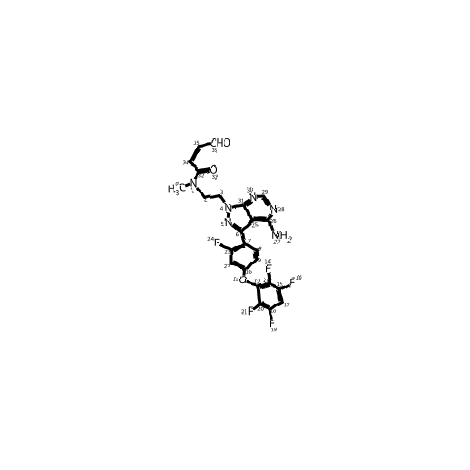 CN(CCn1nc(-c2ccc(Oc3c(F)c(F)cc(F)c3F)cc2F)c2c(N)ncnc21)C(=O)/C=C\C=O